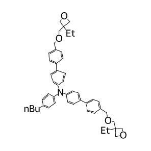 CCCCc1ccc(N(c2ccc(-c3ccc(COCC4(CC)COC4)cc3)cc2)c2ccc(-c3ccc(COCC4(CC)COC4)cc3)cc2)cc1